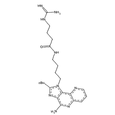 CCCCc1nc2c(N)nc3cccnc3c2n1CCCCNC(=O)CCCNC(=N)N